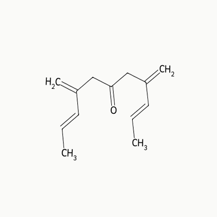 C=C(C=CC)CC(=O)CC(=C)C=CC